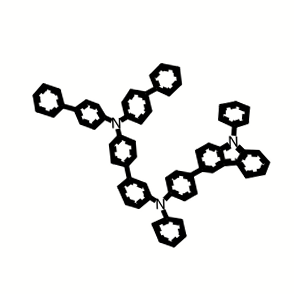 c1ccc(-c2ccc(N(c3ccc(-c4ccccc4)cc3)c3ccc(-c4cccc(N(c5ccccc5)c5ccc(-c6ccc7c(c6)c6ccccc6n7-c6ccccc6)cc5)c4)cc3)cc2)cc1